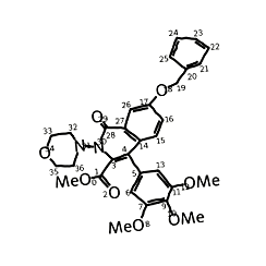 COC(=O)c1c(-c2cc(OC)c(OC)c(OC)c2)c2ccc(OCc3ccccc3)cc2c(=O)n1N1CCOCC1